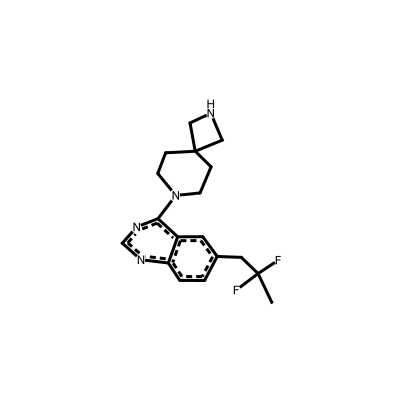 CC(F)(F)Cc1ccc2ncnc(N3CCC4(CC3)CNC4)c2c1